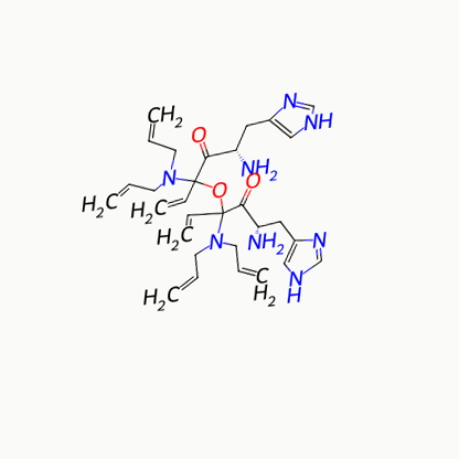 C=CCN(CC=C)C(C=C)(OC(C=C)(C(=O)[C@@H](N)Cc1c[nH]cn1)N(CC=C)CC=C)C(=O)[C@@H](N)Cc1c[nH]cn1